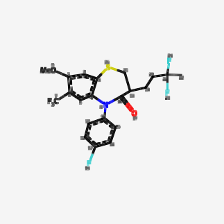 COc1cc2c(cc1C(F)(F)F)N(c1ccc(F)cc1)C(=O)C(CCC(C)(F)F)CS2